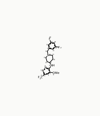 COc1cc(C(F)(F)F)nnc1NC1CCN(Cc2cc(F)cc(F)c2)CC1